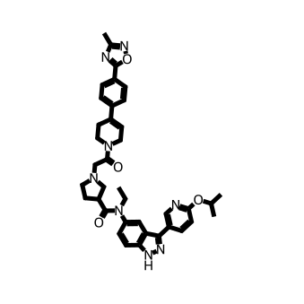 CCN(C(=O)C1CCN(CC(=O)N2CC=C(c3ccc(-c4nc(C)no4)cc3)CC2)C1)c1ccc2[nH]nc(-c3ccc(OC(C)C)nc3)c2c1